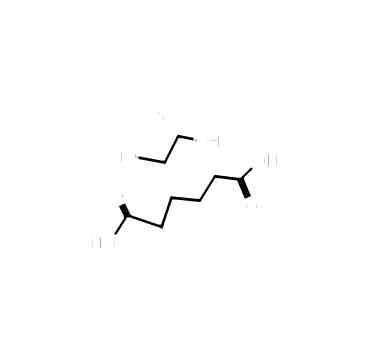 O.O=C(O)CCCCC(=O)O.OCCO